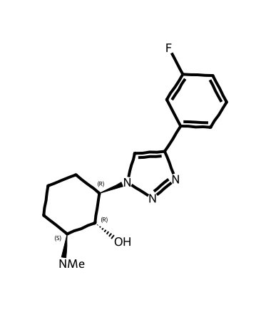 CN[C@H]1CCC[C@@H](n2cc(-c3cccc(F)c3)nn2)[C@@H]1O